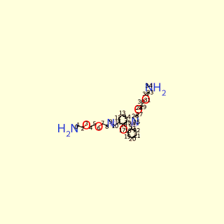 NCCOCCOCC/N=C/c1ccccc1Oc1ccccc1/C=N/CCOCCOCCN